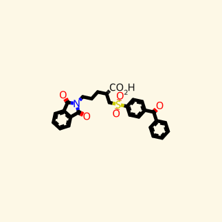 O=C(c1ccccc1)c1ccc(S(=O)(=O)CC(CCCN2C(=O)c3ccccc3C2=O)C(=O)O)cc1